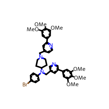 COc1cc(-c2cncc(CN(c3ccc(Br)cc3)C3CCN(Cc4ccnc(-c5cc(OC)c(OC)c(OC)c5)c4)CC3)c2)cc(OC)c1OC